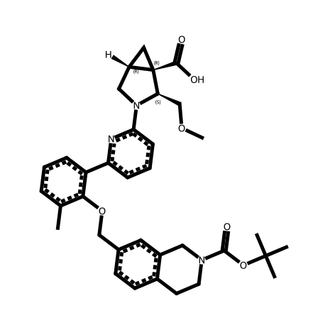 COC[C@H]1N(c2cccc(-c3cccc(C)c3OCc3ccc4c(c3)CN(C(=O)OC(C)(C)C)CC4)n2)C[C@@H]2C[C@@]21C(=O)O